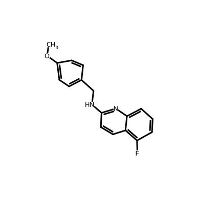 COc1ccc(CNc2ccc3c(F)cccc3n2)cc1